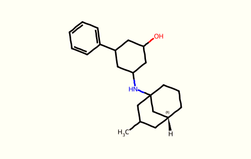 CC1C[C@H]2CCCC(NC3CC(O)CC(c4ccccc4)C3)(C1)C2